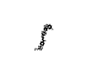 CC(C)c1noc(N2CCC([C@H](C)CCOc3cnc(N4C[C@H](N)[C@@H](N5C[C@@H](C)CCC5=O)C4)nc3)CC2)n1